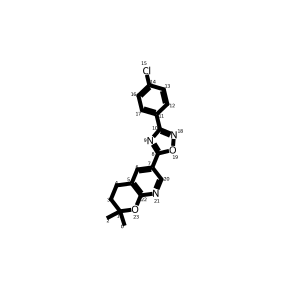 CC1(C)CCc2cc(-c3nc(-c4ccc(Cl)cc4)no3)cnc2O1